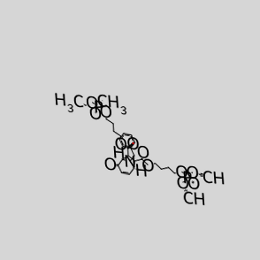 C#COP(=O)(OC#C)OCCCCOC(=O)C1C(C(=O)OCCCCOP(C)(=O)OCC)[C@@H]2C(=O)C=C[C@H]1N2Cc1ccccc1